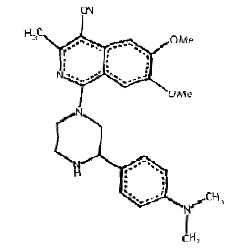 COc1cc2c(N3CCNC(c4ccc(N(C)C)cc4)C3)nc(C)c(C#N)c2cc1OC